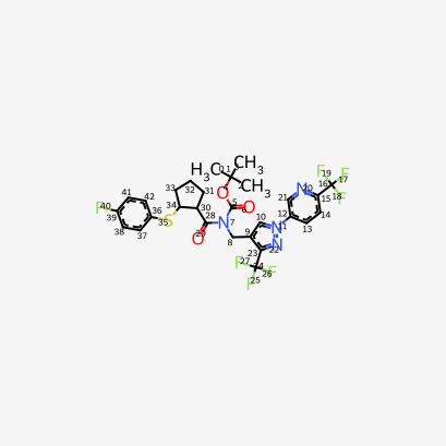 CC(C)(C)OC(=O)N(Cc1cn(-c2ccc(C(F)(F)F)nc2)nc1C(F)(F)F)C(=O)C1CCCC1Sc1ccc(F)cc1